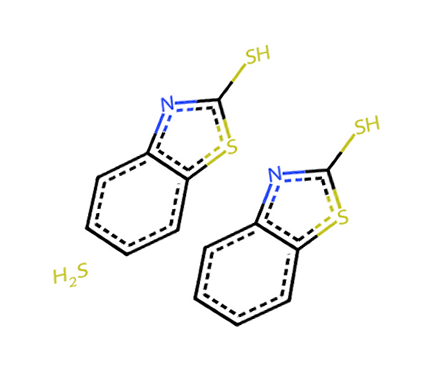 S.Sc1nc2ccccc2s1.Sc1nc2ccccc2s1